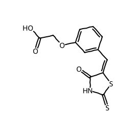 O=C(O)COc1cccc(C=C2SC(=S)NC2=O)c1